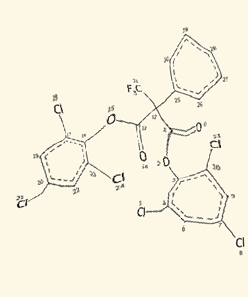 O=C(Oc1c(Cl)cc(Cl)cc1Cl)C(C(=O)Oc1c(Cl)cc(Cl)cc1Cl)(c1ccccc1)C(F)(F)F